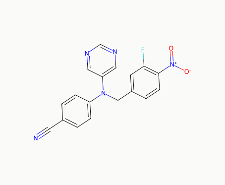 N#Cc1ccc(N(Cc2ccc([N+](=O)[O-])c(F)c2)c2cncnc2)cc1